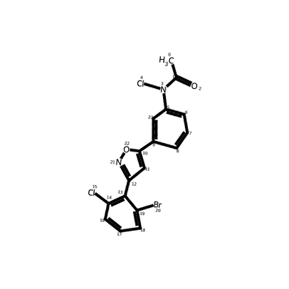 CC(=O)N(Cl)c1cccc(-c2cc(-c3c(Cl)cccc3Br)no2)c1